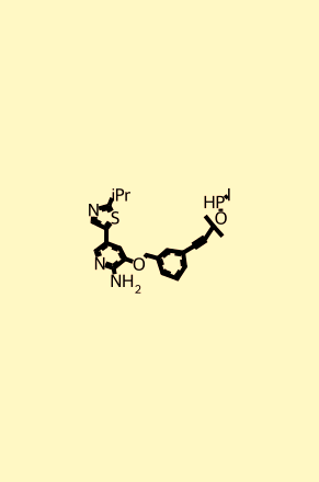 CC(C)c1ncc(-c2cnc(N)c(OCc3cccc(C#CC(C)(C)OPI)c3)c2)s1